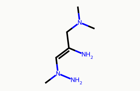 CN(N)/C=C(\N)CN(C)C